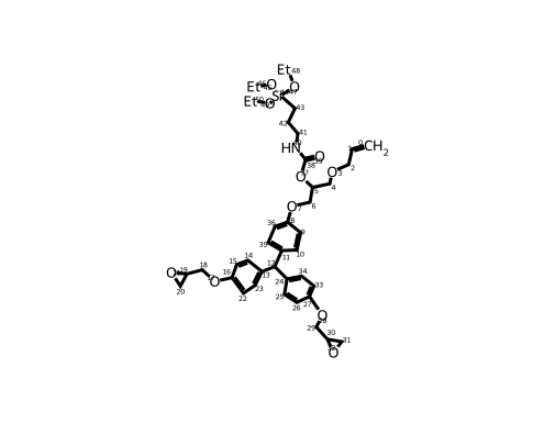 C=CCOCC(COc1ccc(C(c2ccc(OCC3CO3)cc2)c2ccc(OCC3CO3)cc2)cc1)OC(=O)NCCC[Si](OCC)(OCC)OCC